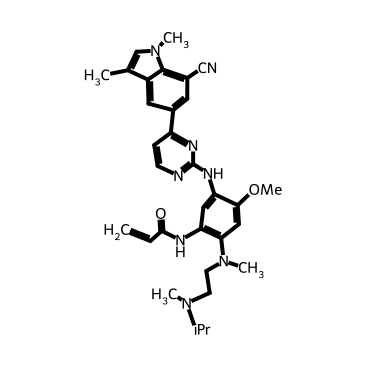 C=CC(=O)Nc1cc(Nc2nccc(-c3cc(C#N)c4c(c3)c(C)cn4C)n2)c(OC)cc1N(C)CCN(C)C(C)C